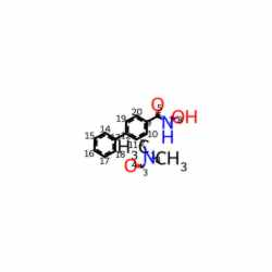 CN(C)C=O.O=C(NO)c1ccc(-c2ccccc2)cc1